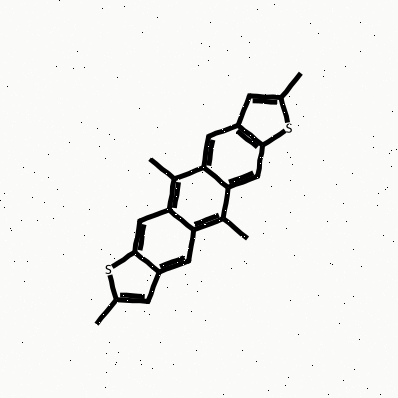 Cc1cc2cc3c(C)c4cc5sc(C)cc5cc4c(C)c3cc2s1